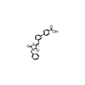 O=C(O)c1ccc(-c2cccc(/C=C3\SC(=O)N(Cc4ccccc4)C3=O)c2)cc1